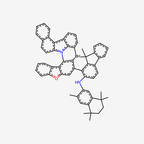 Cc1cc2c(cc1Nc1ccc3c(c1-c1cc4oc5ccccc5c4c4c1Bc1cccc5c6c7ccccc7ccc6n-4c15)C(C)(C)c1ccccc1-3)C(C)(C)CCC2(C)C